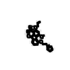 CCCOc1cc(OC)c2c(c1[N+](=O)[O-])C(=O)c1cccc(OCCN3CCCC3)c1-2